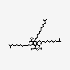 CC(C)CCCCCCCCCCc1c(CCCCCCCCCCC(C)C)c(C(=O)O)c(C(=O)O)c(CCCCCCCCCCC(C)C)c1C(=O)O